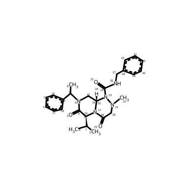 CC(C)[C@H]1C(=O)N(C(C)c2ccccc2)C[C@H]2N1C(=O)CN(C)N2C(=O)NCc1ccccc1